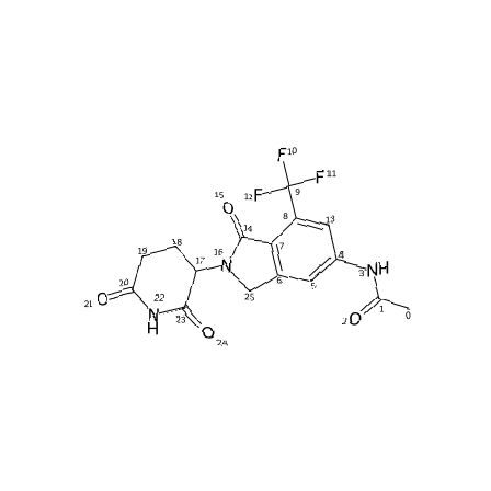 CC(=O)Nc1cc2c(c(C(F)(F)F)c1)C(=O)N(C1CCC(=O)NC1=O)C2